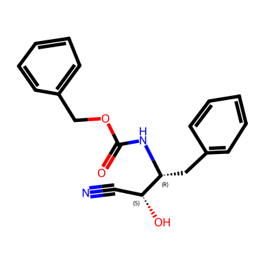 N#C[C@@H](O)[C@@H](Cc1ccccc1)NC(=O)OCc1ccccc1